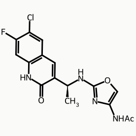 CC(=O)Nc1coc(N[C@@H](C)c2cc3cc(Cl)c(F)cc3[nH]c2=O)n1